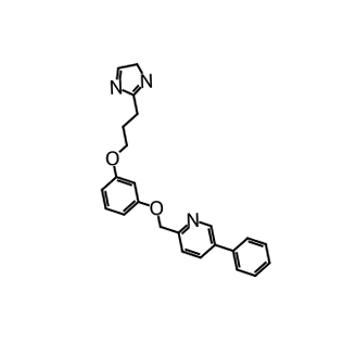 C1=NC(CCCOc2cccc(OCc3ccc(-c4ccccc4)cn3)c2)=NC1